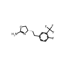 NC1=N[C@@H](CCc2ccc(F)c(C(F)(F)F)c2)CO1